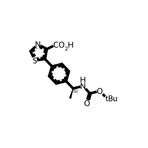 C[C@H](NC(=O)OC(C)(C)C)c1ccc(-c2scnc2C(=O)O)cc1